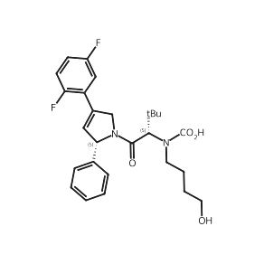 CC(C)(C)[C@@H](C(=O)N1CC(c2cc(F)ccc2F)=C[C@H]1c1ccccc1)N(CCCCO)C(=O)O